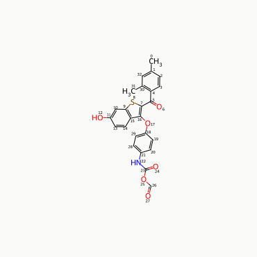 Cc1ccc(C(=O)c2sc3cc(O)ccc3c2Oc2ccc(NC(=O)OC=O)cc2)c(C)c1